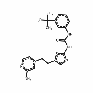 CC(C)(C)c1cccc(NC(=O)Nc2ncc(CCc3ccnc(N)c3)s2)c1